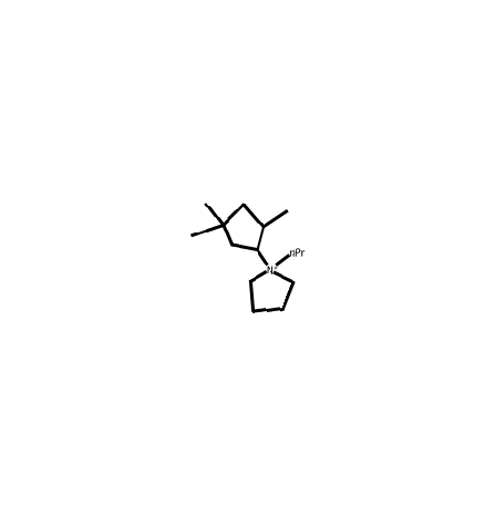 CCC[N+]1(C2CC(C)(C)CC2C)CCCC1